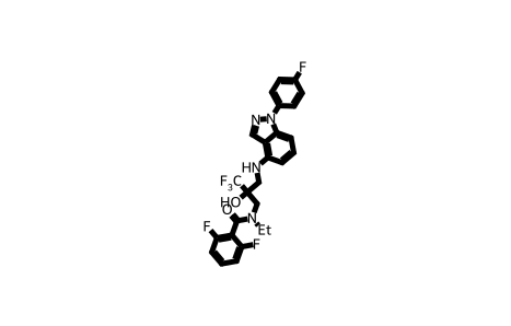 CCN(CC(O)(CNc1cccc2c1cnn2-c1ccc(F)cc1)C(F)(F)F)C(=O)c1c(F)cccc1F